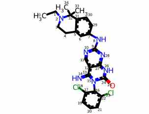 CCN1CCc2cc(Nc3ncc4c(=N)n(-c5c(Cl)cccc5Cl)c(=O)[nH]c4n3)ccc2C1(C)C